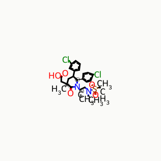 CC[C@@H](CN(CC)S(=O)(=O)C(C)C)N1C(=O)[C@@](C)(CC(=O)O)CC(c2cccc(Cl)c2)[C@H]1c1ccc(Cl)cc1